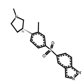 Cc1cc(S(=O)(=O)c2ccc3[nH]ncc3c2)ccc1[C@@H]1CCN(C)C1